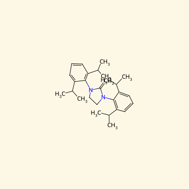 C=C1N(c2c(C(C)C)cccc2C(C)C)CCN1c1c(C(C)C)cccc1C(C)C